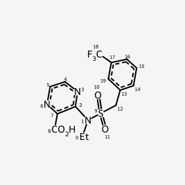 CCN(c1nccnc1C(=O)O)S(=O)(=O)Cc1cccc(C(F)(F)F)c1